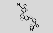 COc1ncc(N2CCOc3ccc(OC4CCN(C(=O)c5cnco5)C4)cc32)cc1C#N